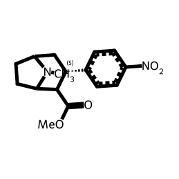 COC(=O)C1C2CCC(C[C@@H]1c1ccc([N+](=O)[O-])cc1)N2C